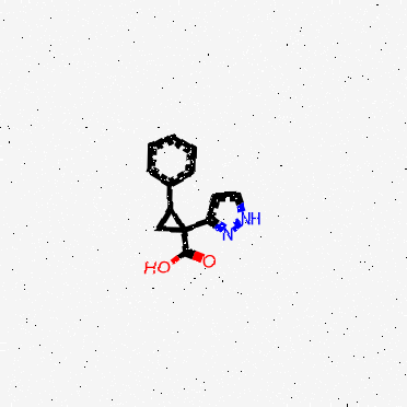 O=C(O)C1(c2cc[nH]n2)CC1c1ccccc1